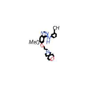 C#Cc1cccc(Nc2ncnc3cc(OC)c(OCCCN4CCC5(CCOCC5)C4)cc23)c1